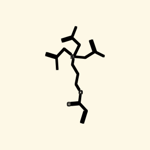 C=CC(=O)OCCC[Si](CC(=C)C)(CC(=C)C)CC(=C)C